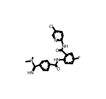 CN(C)C(=N)c1ccc(C(=O)Nc2ccc(F)cc2C(=O)Nc2ccc(Cl)cn2)cc1